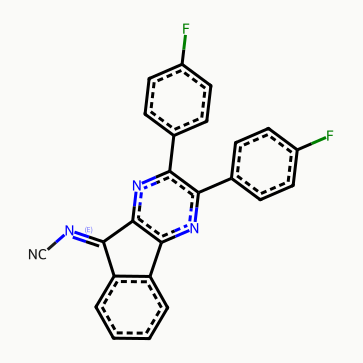 N#C/N=C1\c2ccccc2-c2nc(-c3ccc(F)cc3)c(-c3ccc(F)cc3)nc21